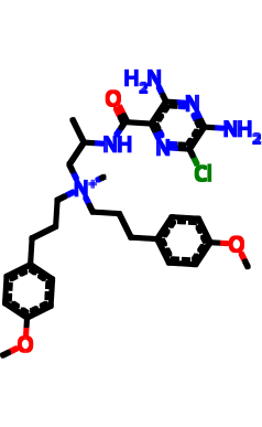 COc1ccc(CCC[N+](C)(CCCc2ccc(OC)cc2)CC(C)NC(=O)c2nc(Cl)c(N)nc2N)cc1